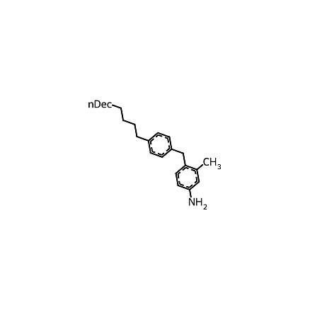 CCCCCCCCCCCCCCc1ccc(Cc2ccc(N)cc2C)cc1